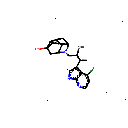 CC(c1c[nH]c2nccc(Cl)c12)C(C=O)CN1C2CC3CC1CC(O)(C3)C2